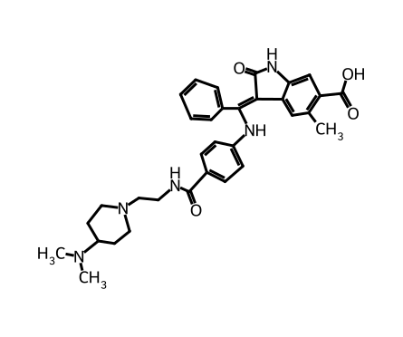 Cc1cc2c(cc1C(=O)O)NC(=O)C2=C(Nc1ccc(C(=O)NCCN2CCC(N(C)C)CC2)cc1)c1ccccc1